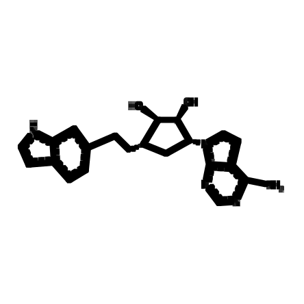 Nc1ncnc2c1ccn2[C@@H]1C[C@H](CCc2ccc3cc[nH]c3c2)[C@@H](O)[C@H]1O